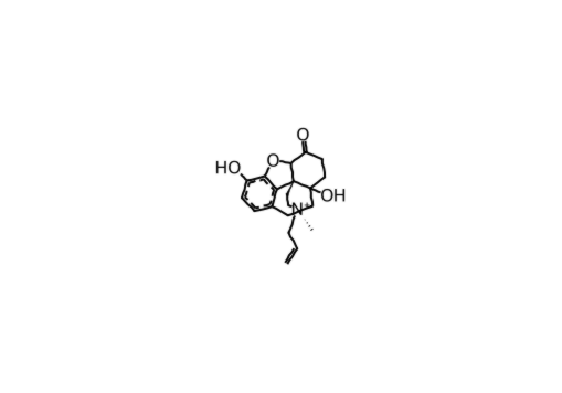 C=CC[N@@+]1(C)CC[C@@]23c4c5ccc(O)c4OC2C(=O)CCC3(O)C1C5